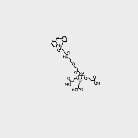 O=C(O)CCOCC(COCCC(=O)O)(COCCC(=O)O)NC(=O)CCOCCNC(=O)CCC(=O)N1Cc2ccccc2C#Cc2ccccc21